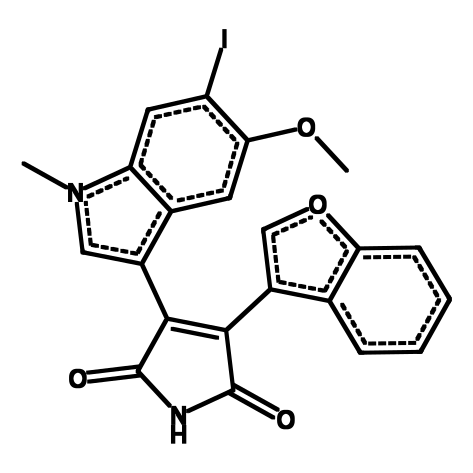 COc1cc2c(C3=C(c4coc5ccccc45)C(=O)NC3=O)cn(C)c2cc1I